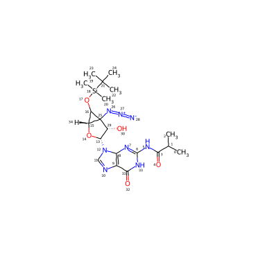 CC(C)C(=O)Nc1nc2c(ncn2[C@@H]2O[C@@H]3C(O[Si](C)(C)C(C)(C)C)C3(N=[N+]=[N-])[C@@H]2O)c(=O)[nH]1